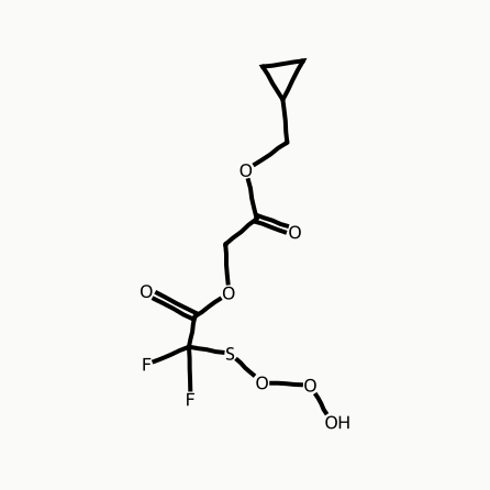 O=C(COC(=O)C(F)(F)SOOO)OCC1CC1